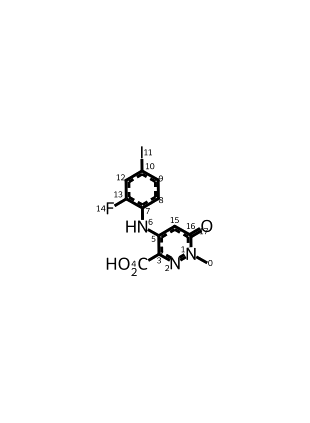 Cn1nc(C(=O)O)c(Nc2ccc(I)cc2F)cc1=O